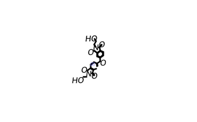 C=C(/C=C\C1=C(C)C(=O)N(CCO)C1=O)C(=O)c1ccc2c(c1)C(=O)N(CCO)C2=O